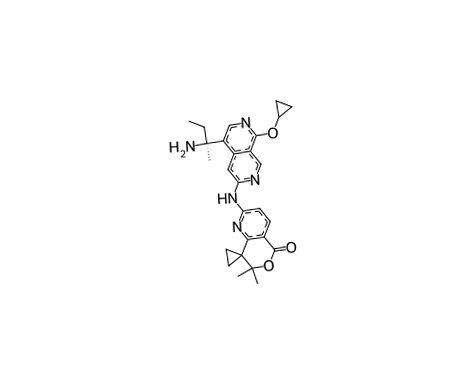 CC[C@](C)(N)c1cnc(OC2CC2)c2cnc(Nc3ccc4c(n3)C3(CC3)C(C)(C)OC4=O)cc12